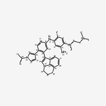 Cc1cc(N(C)CCN(C)C)c(N)cc1Nc1ncc(-c2ccn(C(C)C)c2)c(-c2cn3c4c(cccc24)CCC3)n1